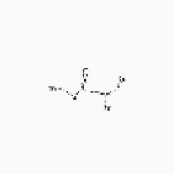 CCC(CC)C(=O)OC(C)C